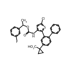 CC(OC(=O)Nc1cc(Cl)sc1-c1cc(C2(C(=O)O)CC2)ccc1-c1ccccc1)c1cccc(F)c1